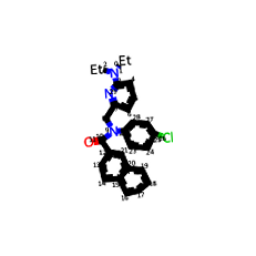 CCN(CC)c1cccc(CN(C(=O)c2ccc3ccccc3c2)c2ccc(Cl)cc2)n1